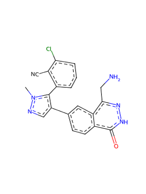 Cn1ncc(-c2ccc3c(=O)[nH]nc(CN)c3c2)c1-c1cccc(Cl)c1C#N